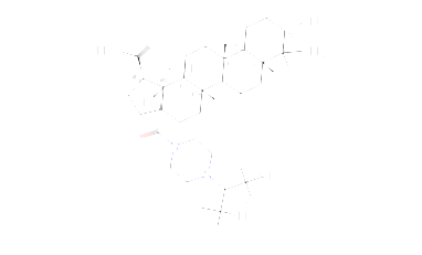 [2H]C([2H])([2H])C(N1CCN(C(=O)[C@]23CC[C@@H](C(=C)C)[C@@H]2[C@H]2CC[C@@H]4[C@@]5(C)CC[C@H](C)C(C)(C)[C@@H]5CC[C@@]4(C)[C@]2(C)CC3)CC1)C([2H])([2H])[2H]